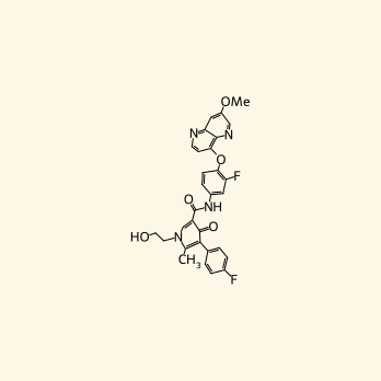 COc1cnc2c(Oc3ccc(NC(=O)c4cn(CCO)c(C)c(-c5ccc(F)cc5)c4=O)cc3F)ccnc2c1